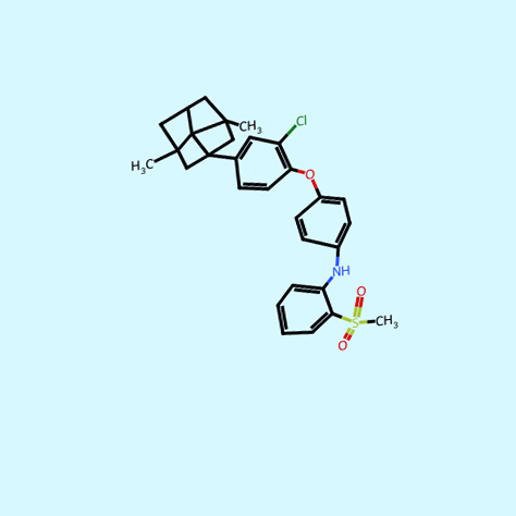 CC12CC3CC4(C)CC(c5ccc(Oc6ccc(Nc7ccccc7S(C)(=O)=O)cc6)c(Cl)c5)(C1)C324